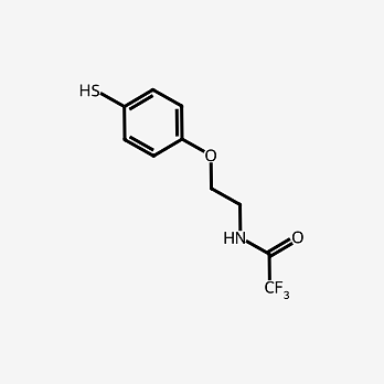 O=C(NCCOc1ccc(S)cc1)C(F)(F)F